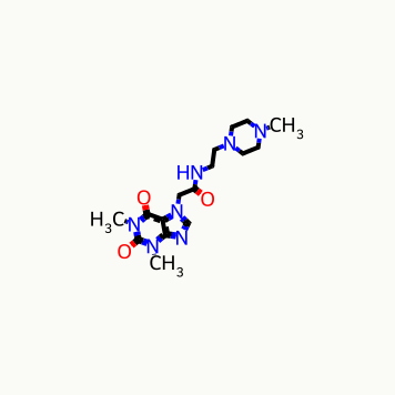 CN1CCN(CCNC(=O)Cn2cnc3c2c(=O)n(C)c(=O)n3C)CC1